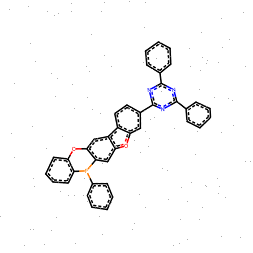 c1ccc(-c2nc(-c3ccccc3)nc(-c3ccc4c(c3)oc3cc5c(cc34)Oc3ccccc3P5c3ccccc3)n2)cc1